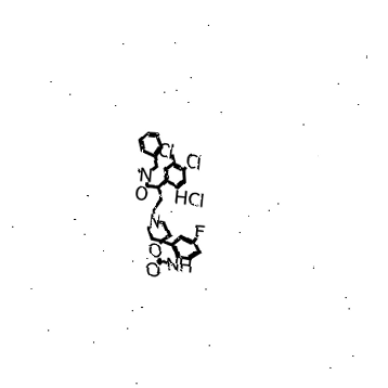 CN(Cc1ccccc1)C(=O)C(CCN1CCC2(CC1)OC(=O)Nc1ccc(F)cc12)c1ccc(Cl)c(Cl)c1.Cl